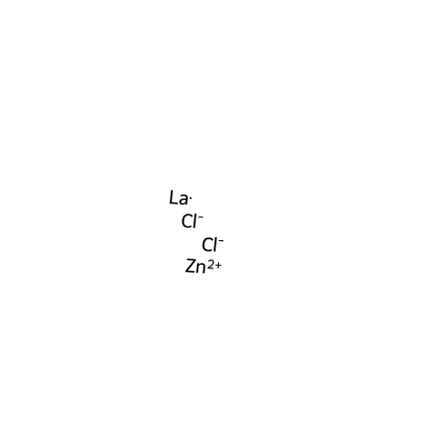 [Cl-].[Cl-].[La].[Zn+2]